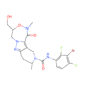 CC1Cc2nn3c(c2CN1C(=O)Nc1ccc(F)c(Br)c1F)C(=O)N(C)OC(CO)C3